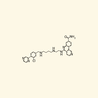 NC(=O)c1ccc2c(c1)nc(NCCNCCCCNCc1ccc(-c3cnccn3)c(Cl)c1)c1ccncc12